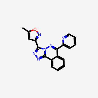 Cc1cc(-c2nnc3c4ccccc4c(-c4ccccn4)nn23)no1